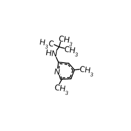 Cc1cc(C)nc(NC(C)(C)C)c1